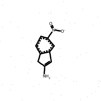 NC1=Cc2cc([N+](=O)[O-])ccc2C1